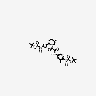 Cc1cc(NC(=O)C(=O)N2C[C@H](C)CC[C@@H]2[C@H]2C[C@H](NC(=O)OC(C)(C)C)C2)cnc1NC(=O)OC(C)(C)C